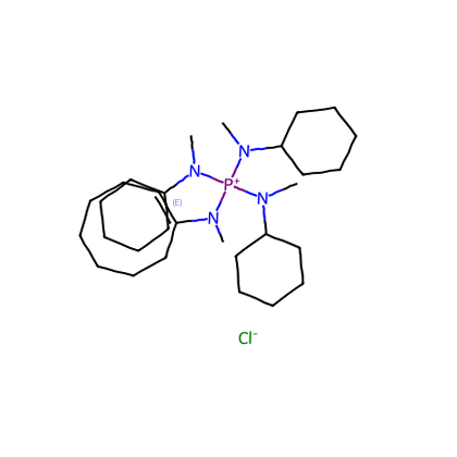 CN(/C1=C/CCCCCC1)[P+](N(C)C1CCCCC1)(N(C)C1CCCCC1)N(C)C1CCCCC1.[Cl-]